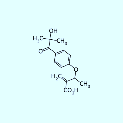 C=C(C(=O)O)C(C)Oc1ccc(C(=O)C(C)(C)O)cc1